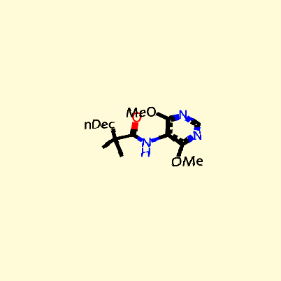 CCCCCCCCCCC(C)(C)C(=O)Nc1c(OC)ncnc1OC